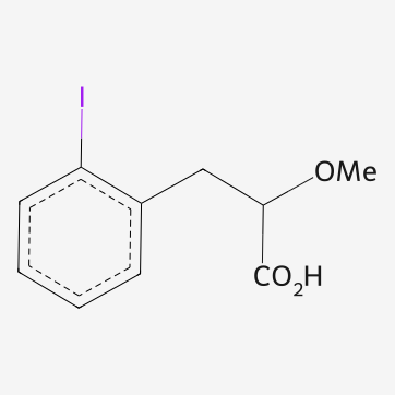 COC(Cc1ccccc1I)C(=O)O